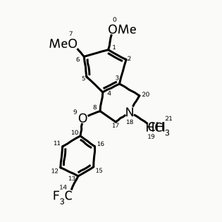 COc1cc2c(cc1OC)C(Oc1ccc(C(F)(F)F)cc1)CN(C)C2.Cl